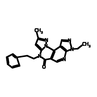 CCn1ncc2c1ncc1c(=O)n(CCc3ccccc3)c3cc(C)nn3c12